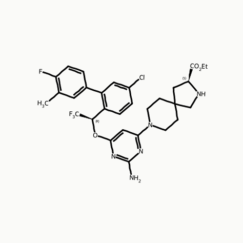 CCOC(=O)[C@@H]1CC2(CCN(c3cc(O[C@H](c4ccc(Cl)cc4-c4ccc(F)c(C)c4)C(F)(F)F)nc(N)n3)CC2)CN1